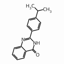 CC(C)c1ccc(-c2nc3ccccc3c(=O)[nH]2)cc1